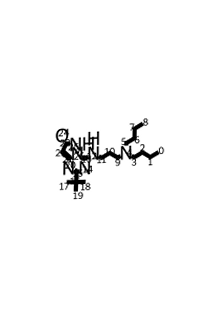 CCCCN(CCCC)CCCNc1nc(C(C)(C)C)nc2cc(=O)[nH]n12